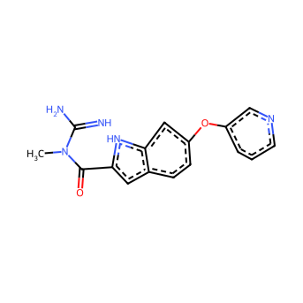 CN(C(=N)N)C(=O)c1cc2ccc(Oc3cccnc3)cc2[nH]1